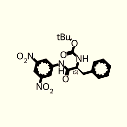 CC(C)(C)OC(=O)N[C@@H](Cc1ccccc1)C(=O)Nc1cc([N+](=O)[O-])cc([N+](=O)[O-])c1